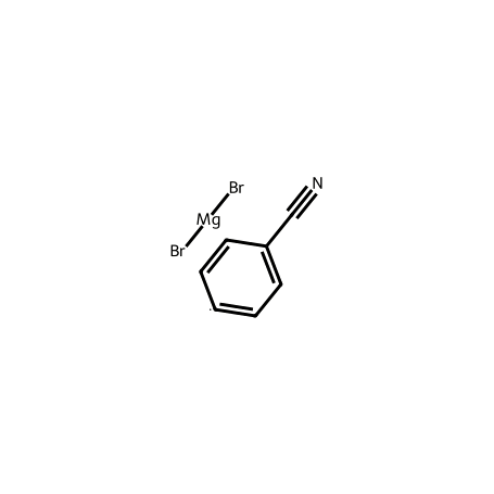 N#Cc1cc[c]cc1.[Br][Mg][Br]